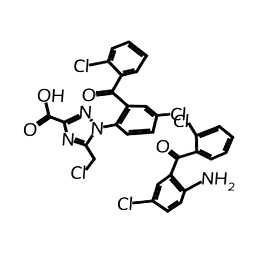 Nc1ccc(Cl)cc1C(=O)c1ccccc1Cl.O=C(O)c1nc(CCl)n(-c2ccc(Cl)cc2C(=O)c2ccccc2Cl)n1